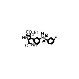 CCOC(=O)c1c[nH]c2c(=O)[nH]c3ccc(NS(=O)(=O)c4cccc(F)c4)cc3c12